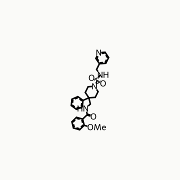 COc1ccccc1C(=O)NCC1(c2ccccc2)CCN(S(=O)(=O)NCc2cccnc2)CC1